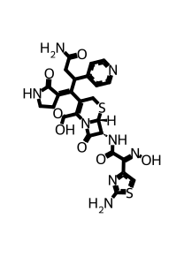 NC(=O)CC(C(=C1CCNC1=O)C1=C(C(=O)O)N2C(=O)[C@@H](NC(=O)C(=NO)c3csc(N)n3)[C@H]2SC1)c1ccncc1